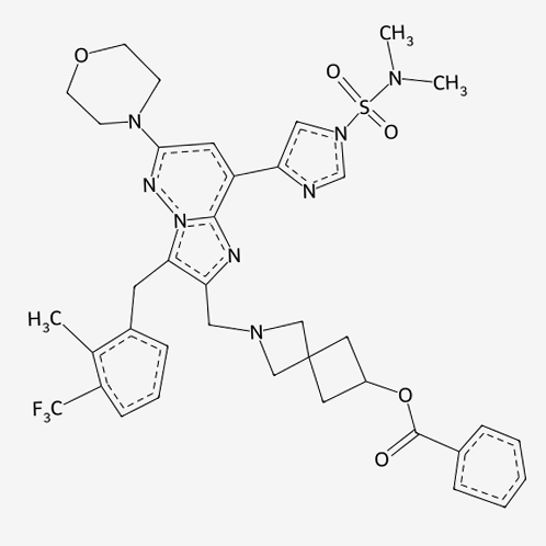 Cc1c(Cc2c(CN3CC4(CC(OC(=O)c5ccccc5)C4)C3)nc3c(-c4cn(S(=O)(=O)N(C)C)cn4)cc(N4CCOCC4)nn23)cccc1C(F)(F)F